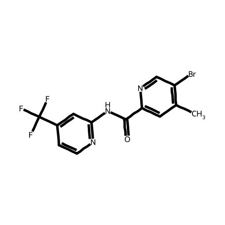 Cc1cc(C(=O)Nc2cc(C(F)(F)F)ccn2)ncc1Br